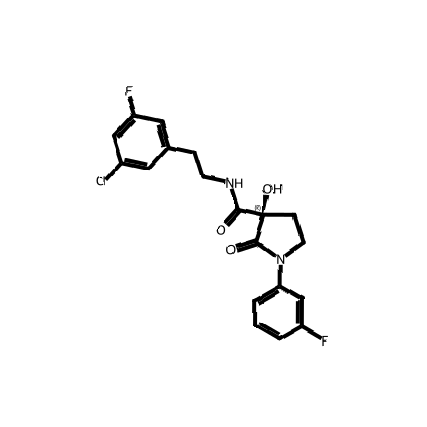 O=C(NCCc1cc(F)cc(Cl)c1)[C@]1(O)CCN(c2cccc(F)c2)C1=O